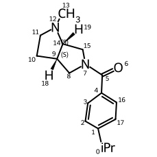 CC(C)c1ccc(C(=O)N2C[C@@H]3CCN(C)[C@@H]3C2)cc1